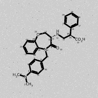 CN(C)c1ccc(CN2C(=O)[C@@H](NC[C@H](C(=O)O)c3ccccc3)COc3ccccc32)cc1